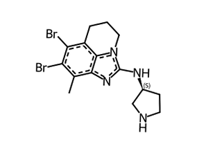 Cc1c(Br)c(Br)c2c3c1nc(N[C@H]1CCNC1)n3CCC2